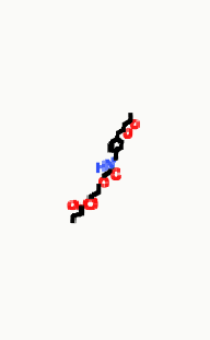 CCCC(=O)OCCCOCC(=O)NCc1ccc(CC(=O)CC(C)=O)cc1